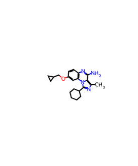 Cc1nc(C2CCCCC2)n2c1c(N)nc1ccc(OCC3CC3)cc12